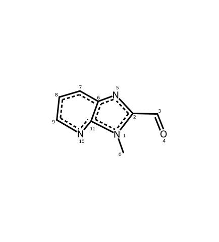 Cn1c(C=O)nc2cccnc21